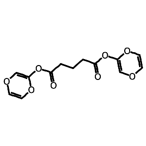 O=C(CCCC(=O)OC1=COC=CO1)OC1=COC=CO1